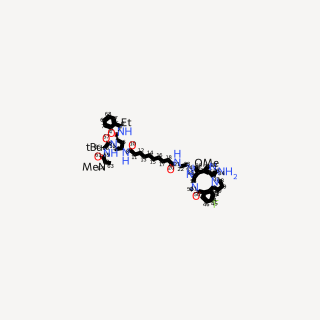 CC[C@H](NC(=O)[C@H]1C[C@@H](NC(=O)CCCCCCCCC(=O)NCCn2nc3c(c2OC)-c2cnc(N)c(c2)N2CCC[C@@H]2c2cc(F)ccc2C(=O)N(C)C3)CN1C(=O)[C@H](NC(=O)[C@@H](C)NC)C(C)(C)C)c1ccccc1